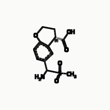 CS(=O)(=O)C(N)c1ccc2c(c1)[C@@H](C(=O)O)CCO2